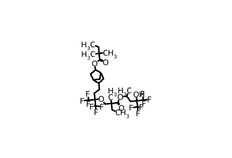 CCC(C)(C)C(=O)OC1CC2CC1CC2CCC(OCC(C)(CC)C(=O)OC(C)CC(O)(C(F)(F)F)C(F)(F)F)(C(F)(F)F)C(F)(F)F